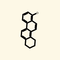 [O]c1cccc2c1ccc1c3c(ccc12)CCCC3